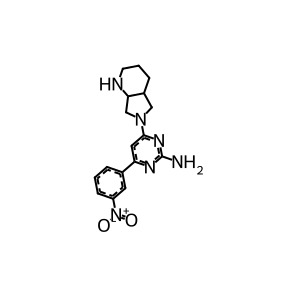 Nc1nc(-c2cccc([N+](=O)[O-])c2)cc(N2CC3CCCNC3C2)n1